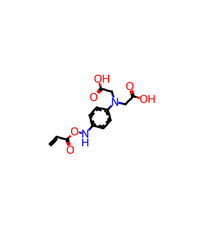 C=CC(=O)ONc1ccc(N(CC(=O)O)CC(=O)O)cc1